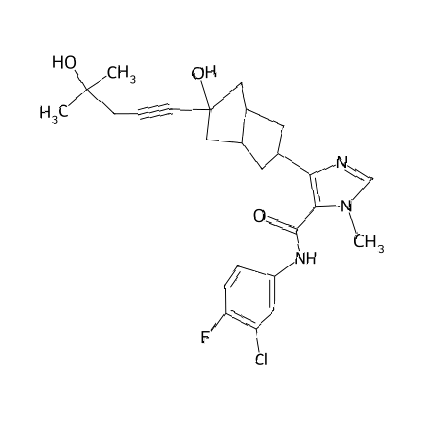 Cn1cnc(C2CC3CC(O)(C#CCC(C)(C)O)CC3C2)c1C(=O)Nc1ccc(F)c(Cl)c1